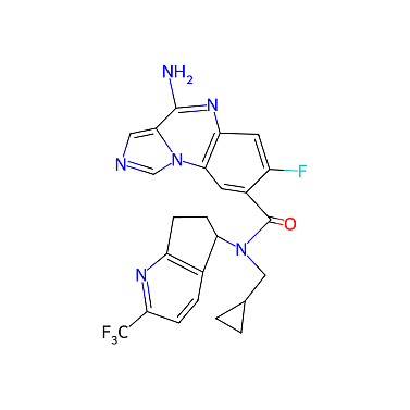 Nc1nc2cc(F)c(C(=O)N(CC3CC3)C3CCc4nc(C(F)(F)F)ccc43)cc2n2cncc12